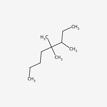 C[CH]CCC(C)(C)C(C)CC